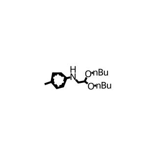 CCCCOC(CNc1ccc(C)cc1)OCCCC